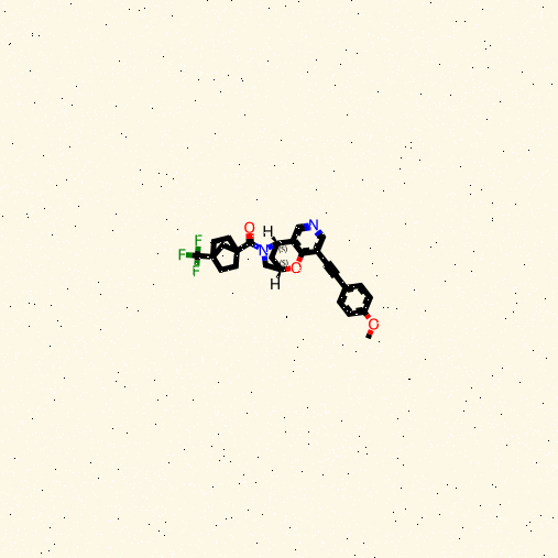 COc1ccc(C#Cc2cncc3c2O[C@H]2C[C@@H]3N(C(=O)C34CCC(C(F)(F)F)(CC3)C4)C2)cc1